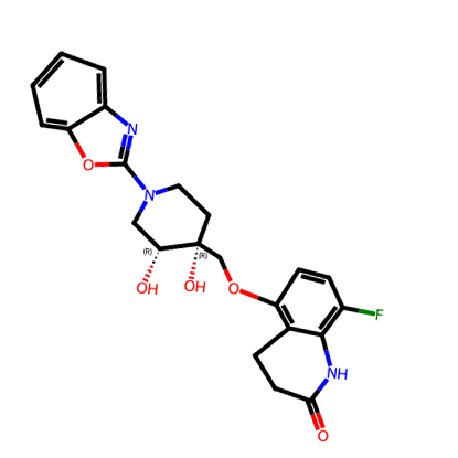 O=C1CCc2c(OC[C@]3(O)CCN(c4nc5ccccc5o4)C[C@H]3O)ccc(F)c2N1